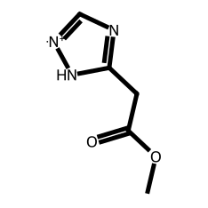 COC(=O)CC1=NC=[N+]N1